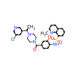 C=C(c1cncc(Cl)c1)N1CCN(C(=O)c2ccc(NS(=O)(=O)c3cccc4cccnc34)c(OC)c2)CC1